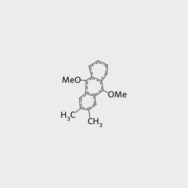 COc1c2ccccc2c(OC)c2cc(C)c(C)cc12